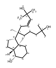 CC(C)(O)CCC[C@](C)(C/C=C\C(O)(C(F)(F)F)C(F)(F)F)[C@H]1CC[C@H]2[C@@H](O)CCC[C@]12C